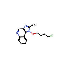 CCCCc1nc2cnc3ccccc3c2n1OCCCCCl